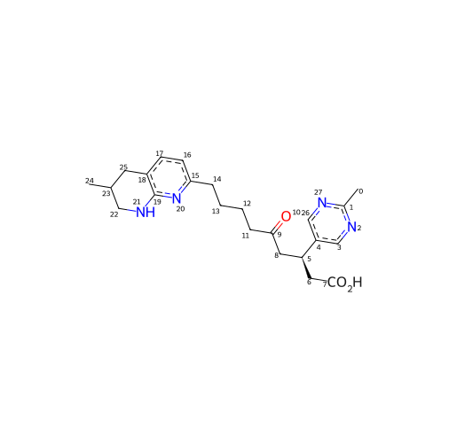 Cc1ncc([C@@H](CC(=O)O)CC(=O)CCCCc2ccc3c(n2)NCC(C)C3)cn1